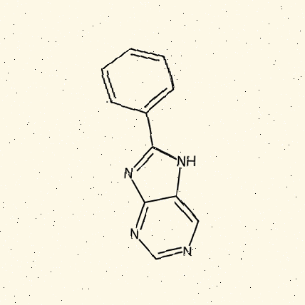 [c]1ccccc1-c1nc2ncncc2[nH]1